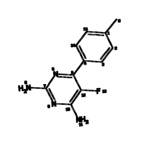 Cc1ccc(-c2nc(N)nc(N)c2F)cc1